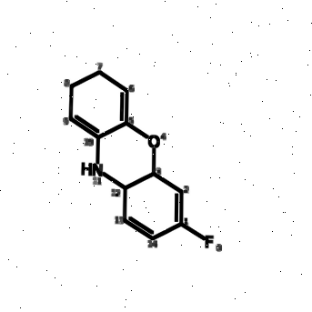 FC1=CC2OC3=CCCC=C3NC2C=C1